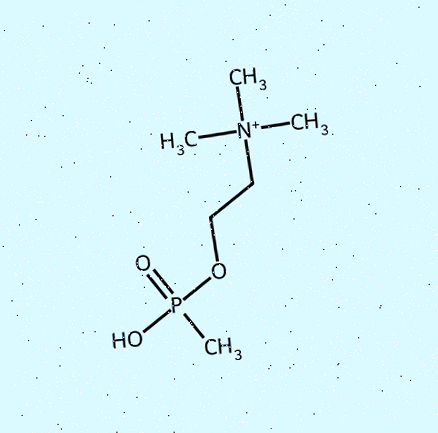 C[N+](C)(C)CCOP(C)(=O)O